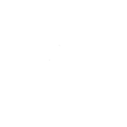 C=CC1CC(C)C(C2CC3C=CC2C3)C1